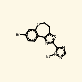 CCn1ncnc1-c1nc2c(s1)CCOc1cc(Br)ccc1-2